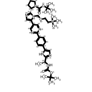 C[C@H](NC(=O)OC(C)(C)C)c1ncc(-c2ccc(-c3ncc(-c4cnc([C@@H]5CCCN5C(=O)OC(C)(C)C)n4COCC[Si](C)(C)C)cn3)cc2)[nH]1